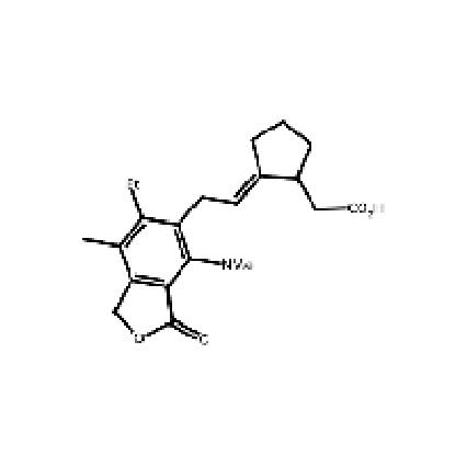 CCc1c(C)c2c(c(NC)c1CC=C1CCCC1CC(=O)O)C(=O)OC2